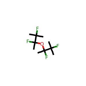 CC(C)(F)C(C)(F)OC(C)(F)C(C)(C)F